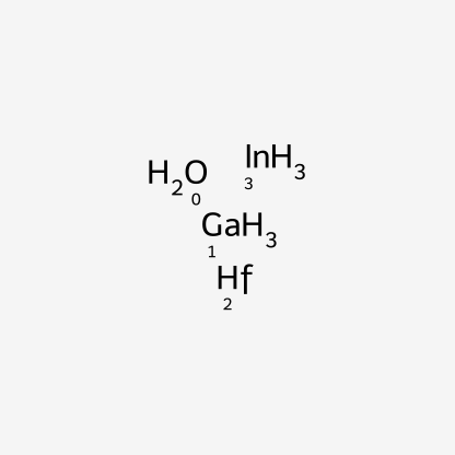 O.[GaH3].[Hf].[InH3]